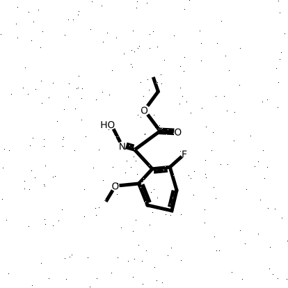 CCOC(=O)/C(=N\O)c1c(F)cccc1OC